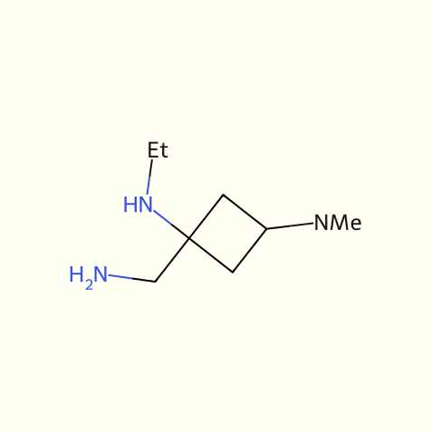 CCNC1(CN)CC(NC)C1